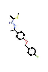 C=C(N/N=C(\C)c1ccc(OCc2ccc(F)cc2)cc1)SC